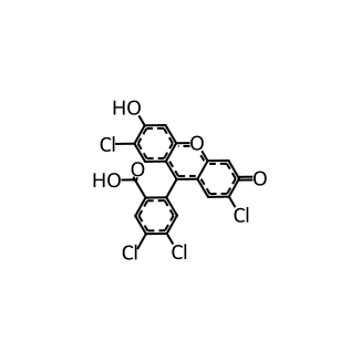 O=C(O)c1cc(Cl)c(Cl)cc1-c1c2cc(Cl)c(=O)cc-2oc2cc(O)c(Cl)cc12